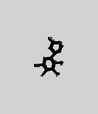 CC(C)c1c(F)c(C#N)cc(-c2ccnc(F)c2)c1Br